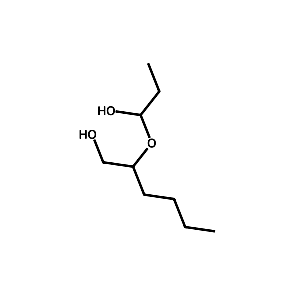 CCCCC(CO)OC(O)CC